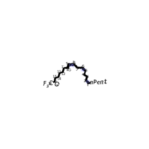 CCCCC/C=C\CC/C=C\C/C=C\CCCCCCC(=O)C(F)(F)F